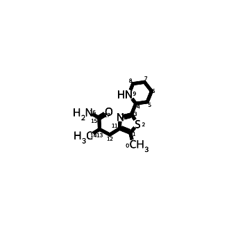 Cc1sc(C2CCCCN2)nc1CC(C)C(N)=O